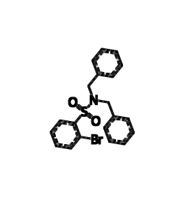 O=S(=O)(c1ccccc1Br)N(Cc1ccccc1)Cc1ccccc1